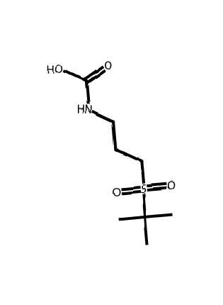 CC(C)(C)S(=O)(=O)CCCNC(=O)O